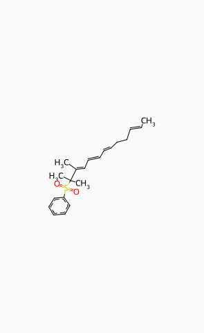 C/C=C/CC/C=C/C=C/C=C(\C)C(C)(C)S(=O)(=O)c1ccccc1